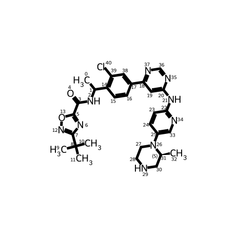 CC(NC(=O)c1nc(C(C)(C)C)no1)c1ccc(-c2cc(Nc3ccc(N4CCNC[C@@H]4C)cn3)ncn2)cc1Cl